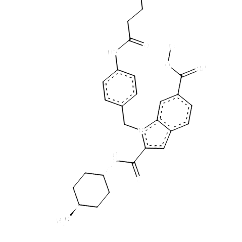 CCOC(=N)c1ccc2cc(C(=O)N[C@H]3CC[C@H](N)CC3)n(Cc3ccc(NC(=O)CCN)cc3)c2c1